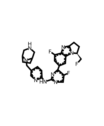 FC[C@@H]1CCc2nc3c(F)cc(-c4nc(Nc5ccc(CN6C7CCC6CNC7)cn5)ncc4F)cc3n21